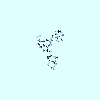 N[C@H]1CN(c2nc(NCc3nc4ccccc4[nH]3)n3ncc(Br)c3n2)CC12CC2